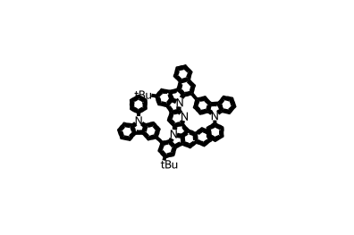 CC(C)(C)c1cc(-c2ccc3c(c2)c2ccccc2n3-c2ccccc2)c2c(c1)c1cc3ccccc3c3c4nc5c(cc4n2c13)c1cc(C(C)(C)C)cc2c3c4ccccc4cc(-c4ccc6c(c4)c4ccccc4n6-c4ccccc4)c3n5c12